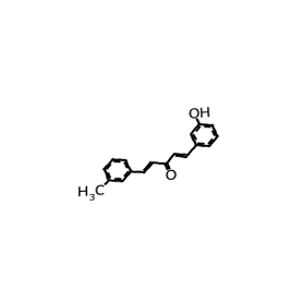 Cc1cccc(/C=C/C(=O)/C=C/c2cccc(O)c2)c1